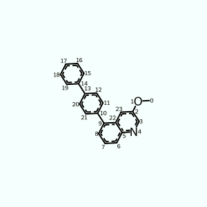 COc1cnc2cccc(-c3ccc(-c4ccccc4)cc3)c2c1